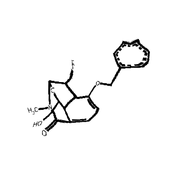 CN1C(=O)C2=CC=C(OCc3ccccc3)C3C(F)C1CC(O)C23